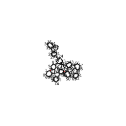 c1ccc(C2(c3ccccc3)c3ccccc3-c3ccc(N(c4ccc(-c5ccc6c(c5)oc5ccccc56)cc4)c4cccc5c4-c4ccccc4C54c5ccccc5-c5ccccc54)cc32)cc1